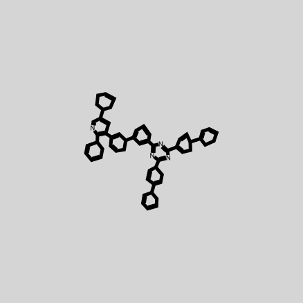 C1=CCCC(C2C=CC(c3nc(-c4cccc(C5C=C(c6cc(C7CC=CCC7)cnc6C6C=CC=CC6)C=CC5)c4)nc(C4C=CC(C5C=CC=CC5)=CC4)n3)=CC2)=C1